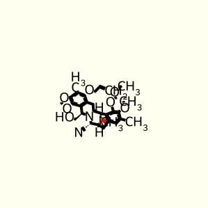 C=CCOc1c(C)c2c(c3c1C[C@H]1C4c5c(cc(C)c(OC)c5OCOC)C[C@H]([C@H](C#N)N1[C@H]3CO)N4C)OCO2